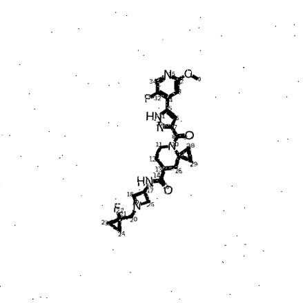 COc1cc(-c2cc(C(=O)N3CCC(C(=O)NC4CN(CC5(F)CC5)C4)CC34CC4)n[nH]2)c(F)cn1